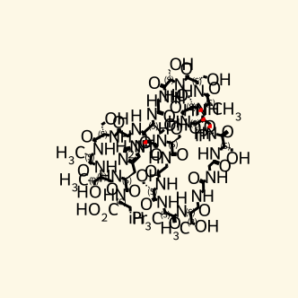 CC(C)C[C@H](NC(=O)[C@H](Cc1c[nH]cn1)NC(=O)[C@@H](NC(=O)[C@H](C)NC(=O)[C@H](CO)NC(=O)CNC(=O)[C@H](CO)NC(=O)CNC(=O)[C@H](CO)NC(=O)[C@H](CO)NC(=O)[C@H](C)NC(=O)[C@@H](NC(=O)[C@H](CO)NC(=O)CNC(=O)[C@H](CO)NC(=O)CNC(=O)CNC(=O)[C@@H](NC(=O)[C@H](C)NC(=O)[C@H](CO)NC(=O)CNC(=O)[C@H](CO)NC(=O)CN)[C@@H](C)O)C(C)C)[C@@H](C)O)C(=O)O